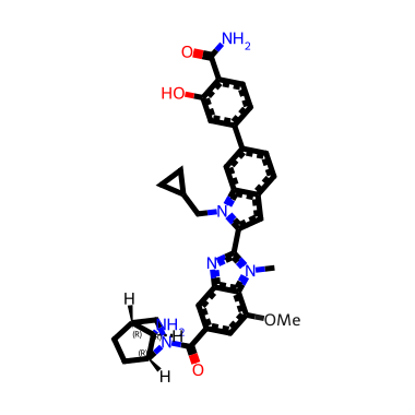 COc1cc(C(=O)N2C[C@H]3CC[C@@H]2[C@@H]3N)cc2nc(-c3cc4ccc(-c5ccc(C(N)=O)c(O)c5)cc4n3CC3CC3)n(C)c12